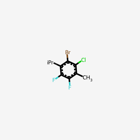 Cc1c(F)c(F)c(C(C)C)c(Br)c1Cl